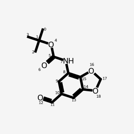 CC(C)(C)OC(=O)Nc1cc(C=O)cc2c1OCO2